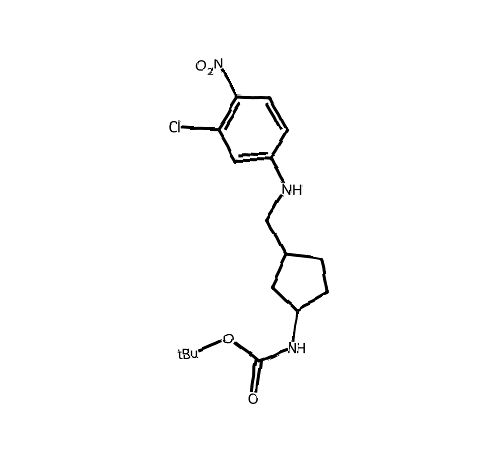 CC(C)(C)OC(=O)NC1CCC(CNc2ccc([N+](=O)[O-])c(Cl)c2)C1